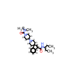 CCC(CC)NC(=O)C1=CC2(CCN(C3CCN(C(=O)N(C)C)CC3)CC2)c2ccccc21